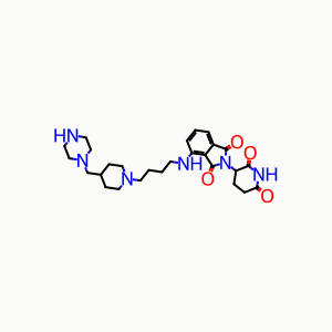 O=C1CCC(N2C(=O)c3cccc(NCCCCN4CCC(CN5CCNCC5)CC4)c3C2=O)C(=O)N1